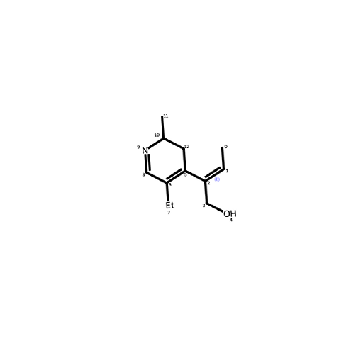 C/C=C(/CO)C1=C(CC)C=NC(C)C1